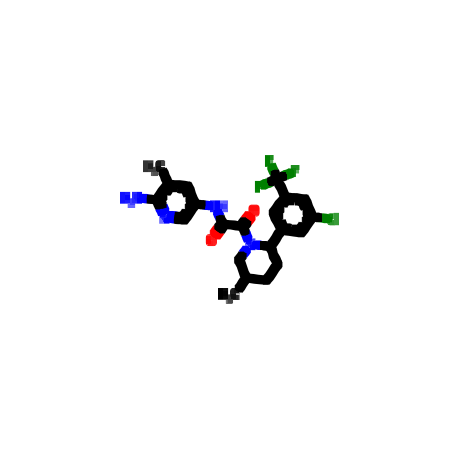 Cc1cc(NC(=O)C(=O)N2CC(C)CCC2c2cc(Cl)cc(C(F)(F)F)c2)cnc1N